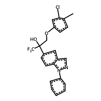 Cc1ccc(OCC(O)(c2ccc3c(cnn3-c3ccccc3)c2)C(F)(F)F)cc1Cl